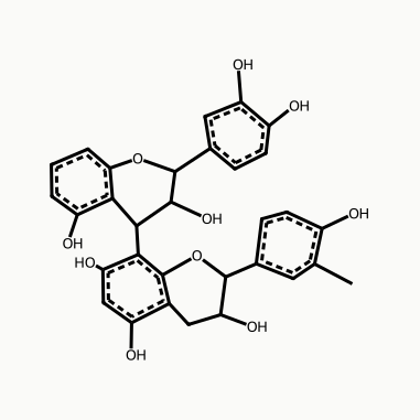 Cc1cc(C2Oc3c(c(O)cc(O)c3C3c4c(O)cccc4OC(c4ccc(O)c(O)c4)C3O)CC2O)ccc1O